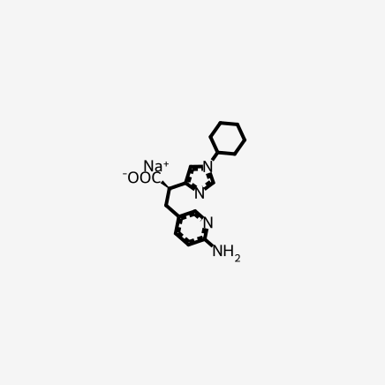 Nc1ccc(C[C@@H](C(=O)[O-])c2cn(C3CCCCC3)cn2)cn1.[Na+]